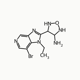 CCn1c(C2NONC2N)nc2cncc(Br)c21